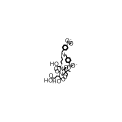 CCC1(CC)C(=O)N(C(CCC(=O)O)C(=O)O)C(=O)N([C@@H](CCCCN(Cc2ccc([N+](=O)[O-])cc2)Cc2ccc([N+](=O)[O-])cc2)C(=O)O)C1=O